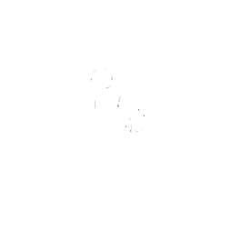 Fc1c(Cl)cccc1/C=C/c1noc(C(Cl)(Cl)Cl)n1